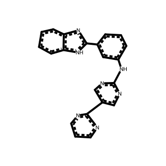 c1cnc(-c2cnc(Nc3cccc(-c4nc5ccccc5[nH]4)c3)nc2)nc1